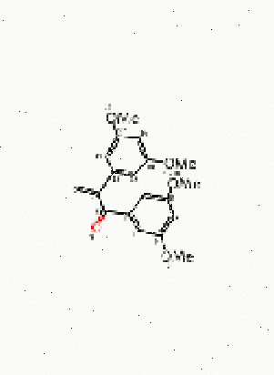 C=C(C(=O)c1cc(OC)cc(OC)c1)c1cc(OC)cc(OC)c1